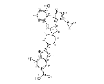 O=C(O)c1cc(F)c2nc(N3CCC4(CC3)CC(c3c(-c5c(Cl)cccc5Cl)noc3C3CC3)C4)sc2c1